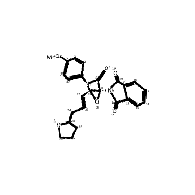 COc1ccc(N2C(=O)[C@@]3(N4C(=O)c5ccccc5C4=O)O[C@]23C=CCC2CCCO2)cc1